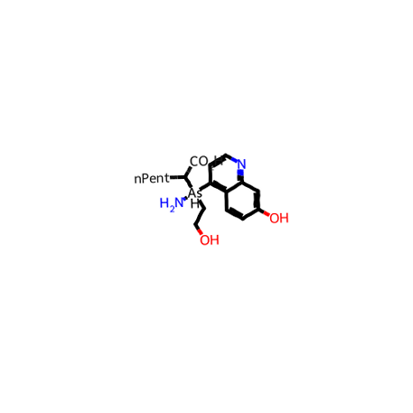 CCCCCC(C(=O)O)[AsH](N)(CCO)c1ccnc2cc(O)ccc12